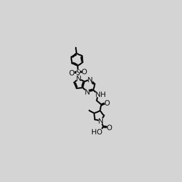 Cc1ccc(S(=O)(=O)n2ccc3nc(NCC(=O)C4CN(C(=O)O)CC4C)cnc32)cc1